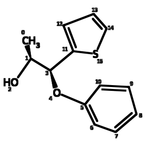 C[C@H](O)[C@H](Oc1ccccc1)c1cccs1